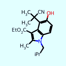 CCOC(=O)c1c(C)n(CC(C)C)c2ccc(O)c(C(C)(C)C#N)c12